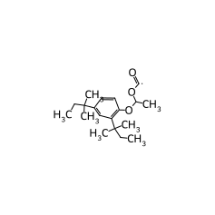 CCC(C)(C)c1ccc(OC(C)O[C]=O)c(C(C)(C)CC)c1